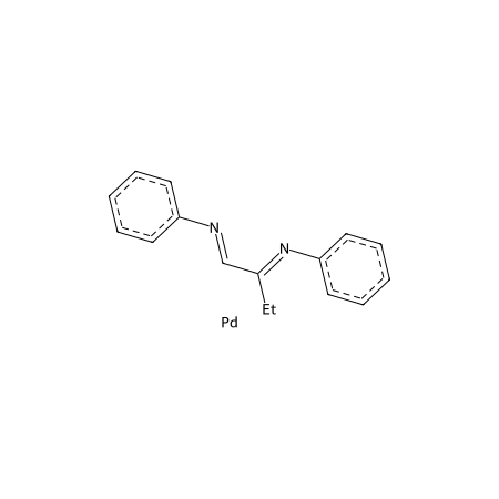 CCC(C=Nc1ccccc1)=Nc1ccccc1.[Pd]